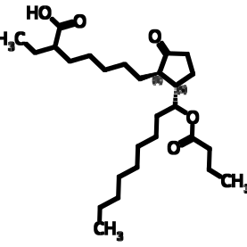 CCCCCCCCC(OC(=O)CCC)[C@H]1CCC(=O)[C@@H]1CCCCCC(CC)C(=O)O